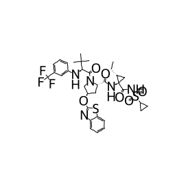 CC[C@@H]1C[C@]1(NC(=O)[C@@H]1C[C@@H](Oc2nc3ccccc3s2)CN1C(=O)[C@@H](Nc1cccc(C(F)(F)F)c1)C(C)(C)C)C(=O)NS(=O)(=O)C1CC1